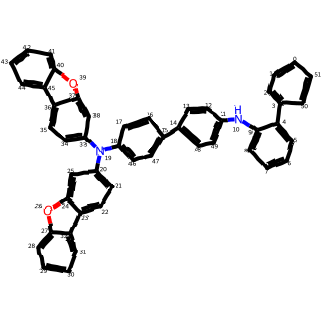 c1ccc(-c2ccccc2Nc2ccc(-c3ccc(N(c4ccc5c(c4)oc4ccccc45)c4ccc5c(c4)oc4ccccc45)cc3)cc2)cc1